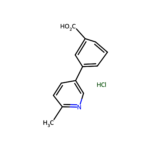 Cc1ccc(-c2cccc(C(=O)O)c2)cn1.Cl